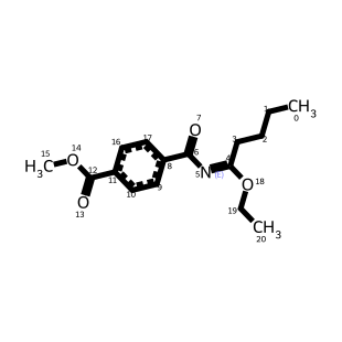 CCCC/C(=N\C(=O)c1ccc(C(=O)OC)cc1)OCC